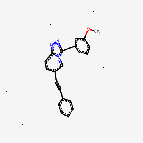 FC(F)(F)Oc1cccc(-c2nnc3ccc(C#Cc4ccccc4)cn23)c1